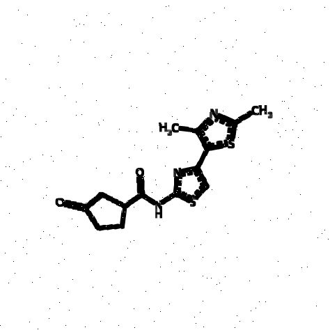 Cc1nc(C)c(-c2csc(NC(=O)C3CCC(=O)C3)n2)s1